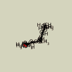 COC(OC)(OCCOCCNC(=O)CCC(=O)NC(CS)C(=O)C(C)(C)C)OCCOCCNC(=O)CCC(=O)NC(CS)C(=O)C(C)(C)C